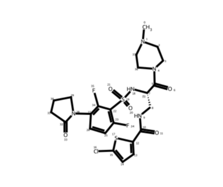 CN1CCN(C(=O)[C@H](CNC(=O)c2ccc(Cl)s2)NS(=O)(=O)c2c(F)ccc(N3CCCC3=O)c2F)CC1